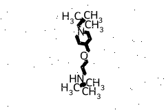 CC(C)(C)CN1CCC(COCCCNC(C)(C)C)CC1